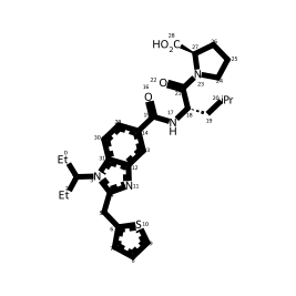 CCC(CC)n1c(Cc2cccs2)nc2cc(C(=O)N[C@@H](CC(C)C)C(=O)N3CCC[C@@H]3C(=O)O)ccc21